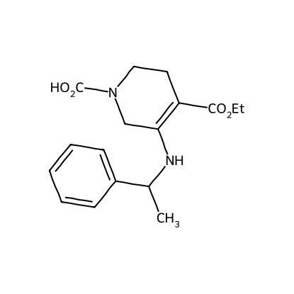 CCOC(=O)C1=C(NC(C)c2ccccc2)CN(C(=O)O)CC1